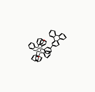 C[Si]1(c2ccccc2)[Si](c2ccccc2)(c2ccccc2)[Si](c2ccccc2)(c2cccc(-c3ccc4c5ccccc5c5ccccc5c4c3)c2)[Si]1(c1ccccc1)c1ccccc1